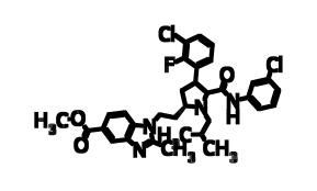 COC(=O)c1ccc2c(c1)nc(C)n2CC[C@H]1CC(c2cccc(Cl)c2F)C(C(=O)Nc2cccc(Cl)c2)N1CC(C)C